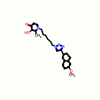 COc1ccc2cc(-c3cn(CCCCCCn4ccc(=O)c(O)c4C)nn3)ccc2c1